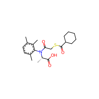 Cc1ccc(C)c(N(C(=O)CSC(=O)C2CCCCC2)[C@@H](C)C(=O)O)c1C